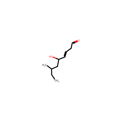 CCC(C)CC(O)C=CCC=O